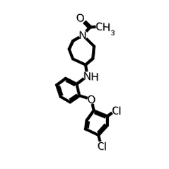 CC(=O)N1CCCC(Nc2ccccc2Oc2ccc(Cl)cc2Cl)CC1